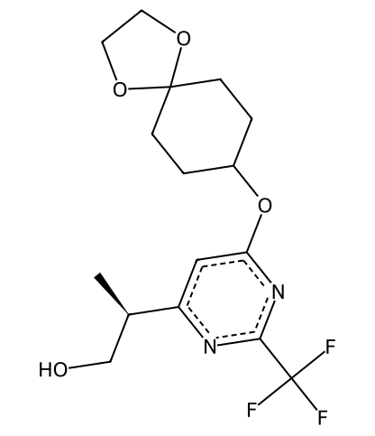 C[C@H](CO)c1cc(OC2CCC3(CC2)OCCO3)nc(C(F)(F)F)n1